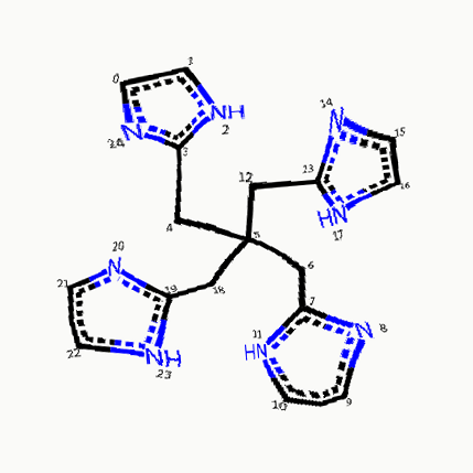 c1c[nH]c(CC(Cc2ncc[nH]2)(Cc2ncc[nH]2)Cc2ncc[nH]2)n1